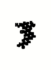 C=CC(=O)N1CCN(c2ncnc3cc(-c4nc(N)ccc4C(F)C(F)F)c(Cl)cc23)CC1